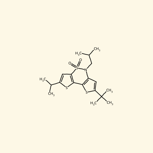 CC(C)CN1c2cc(C(C)(C)C)sc2-c2sc(C(C)C)cc2S1(=O)=O